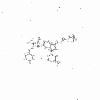 COc1cccc(-n2nc(OCOCC[Si](C)(C)C)c3cnc(NC(=O)C4(OCc5ccccc5)CC4)cc32)c1